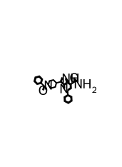 NC(=O)c1cc(-c2ccccc2)nc2c(C3CCN(C(=O)c4ccccc4)CC3)c[nH]c12